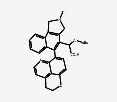 CCCCOC(C(=O)O)c1c2c(c3ccccc3c1-c1ccc3c4c(ccnc14)CCO3)CN(C)C2